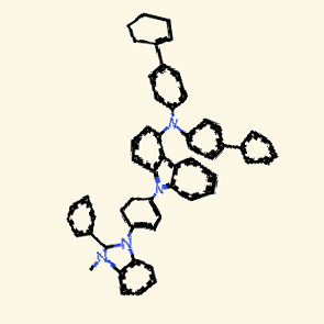 CN1c2ccccc2N(C2=CC=C(n3c4ccccc4c4c(N(c5ccc(C6=CCCCC6)cc5)c5ccc(-c6ccccc6)cc5)cccc43)CC2)C1c1ccccc1